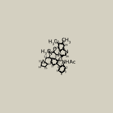 CC(=O)Nc1ccccc1-c1ccc(C(CN2CCCC2)N(C)C(=O)Cn2c(=O)cnc3cc(C)c(C)cc32)cc1